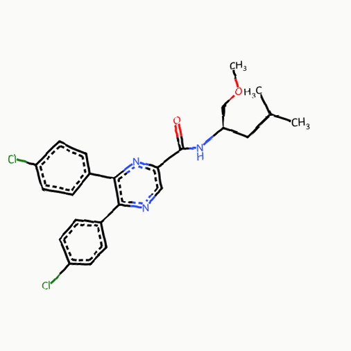 COC[C@@H](CC(C)C)NC(=O)c1cnc(-c2ccc(Cl)cc2)c(-c2ccc(Cl)cc2)n1